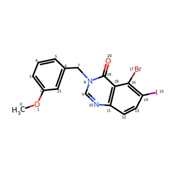 COc1cccc(Cn2cnc3ccc(I)c(Br)c3c2=O)c1